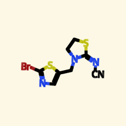 N#C/N=C1/SCCN1Cc1cnc(Br)s1